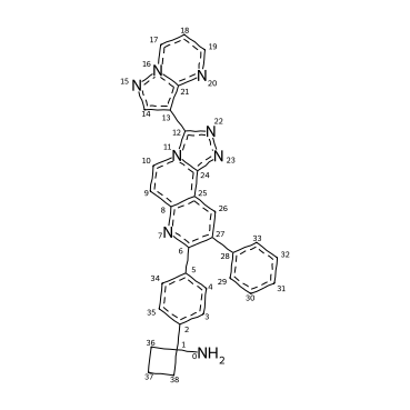 NC1(c2ccc(-c3nc4ccn5c(-c6cnn7cccnc67)nnc5c4cc3-c3ccccc3)cc2)CCC1